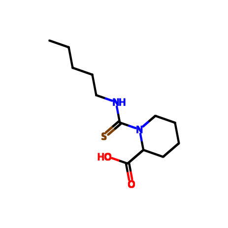 CCCCCNC(=S)N1CCCCC1C(=O)O